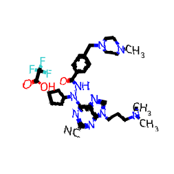 CN(C)CCCn1cnc2c(N(NC(=O)c3ccc(CN4CCN(C)CC4)cc3)C3CCCC3)nc(C#N)nc21.O=C(O)C(F)(F)F